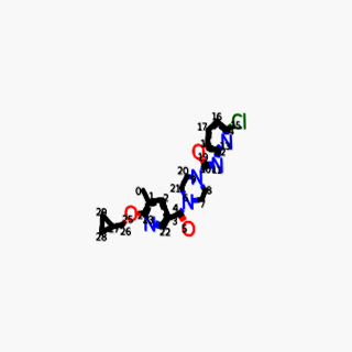 Cc1cc(C(=O)N2CCN(c3nc4nc(Cl)ccc4o3)CC2)cnc1OCC1CC1